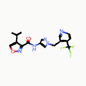 CC(C)c1conc1C(=O)Nc1cnn(Cc2cnccc2C(F)(F)F)c1